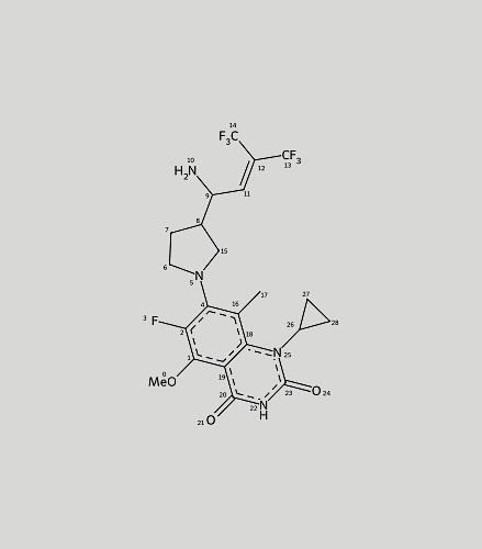 COc1c(F)c(N2CCC(C(N)C=C(C(F)(F)F)C(F)(F)F)C2)c(C)c2c1c(=O)[nH]c(=O)n2C1CC1